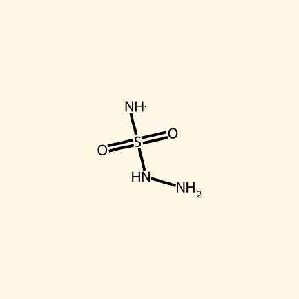 [NH]S(=O)(=O)NN